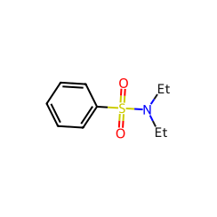 [CH2]CN(CC)S(=O)(=O)c1ccccc1